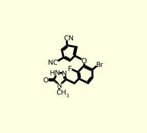 Cn1c(Cc2ccc(Br)c(Oc3cc(C#N)cc(C#N)c3)c2F)n[nH]c1=O